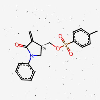 C=C1C(=O)N(c2ccccc2)C[C@H]1COS(=O)(=O)c1ccc(C)cc1